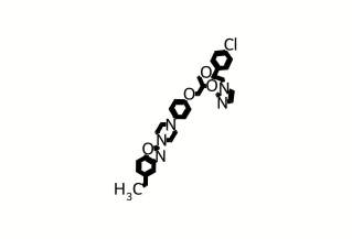 CCc1ccc2oc(N3CCN(c4ccc(OCC5COC(Cn6ccnc6)(c6ccc(Cl)cc6)O5)cc4)CC3)nc2c1